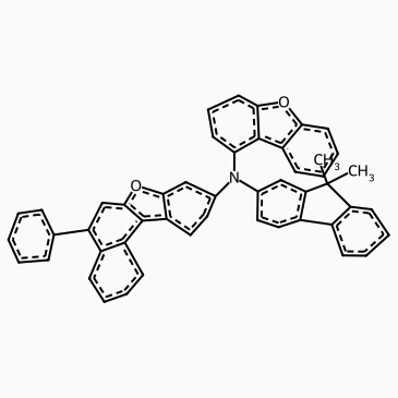 CC1(C)c2ccccc2-c2ccc(N(c3ccc4c(c3)oc3cc(-c5ccccc5)c5ccccc5c34)c3cccc4oc5ccccc5c34)cc21